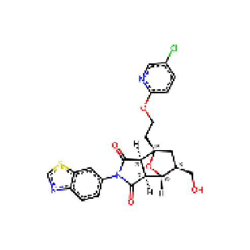 O=C1[C@@H]2[C@@H]3O[C@@](CCOc4ccc(Cl)cn4)(C[C@H]3CO)[C@@H]2C(=O)N1c1ccc2ncsc2c1